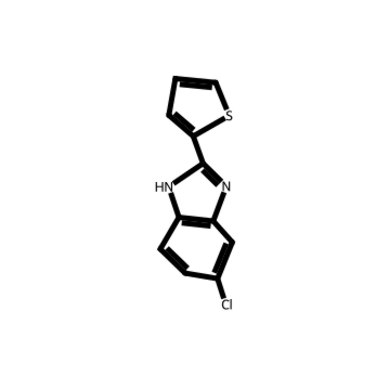 Clc1ccc2[nH]c(-c3cccs3)nc2c1